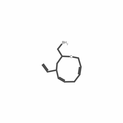 BCC1CCC=CCC=CC(C=C)C1